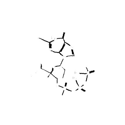 C[C@H](O)[C@@](F)(COP(=O)(O)OP(=O)(O)OP(=O)(O)O)O[C@H](CO)n1cnc2c(=O)[nH]c(N)nc21